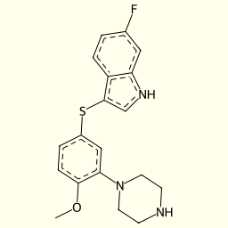 COc1ccc(Sc2c[nH]c3cc(F)ccc23)cc1N1CCNCC1